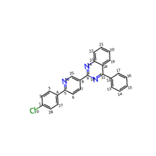 Clc1ccc(-c2ccc(-c3nc(-c4ccccc4)c4ccccc4n3)cn2)cc1